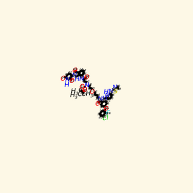 CC(C)(C)OC(=O)N(CCCOCCCCNC(=O)[C@]1(Cc2cccc(Nc3nccs3)n2)CC[C@@H](Oc2cccc(Cl)c2F)CC1)CCC(=O)Nc1cccc2c1CN(C1CCC(=O)NC1=O)C2=O